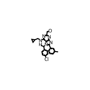 Cc1cccc(-c2nc3nc(C=O)nc(NCC4CC4)c3n2C(C)c2ccc(Cl)cc2)c1